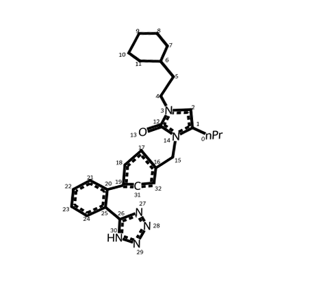 CCCc1cn(CCC2CCCCC2)c(=O)n1Cc1ccc(-c2ccccc2-c2nnn[nH]2)cc1